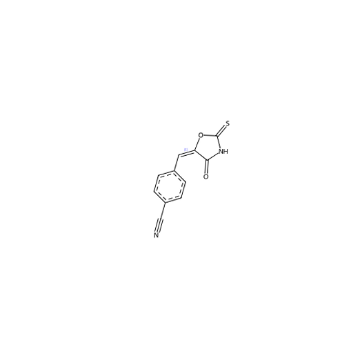 N#Cc1ccc(/C=C2/OC(=S)NC2=O)cc1